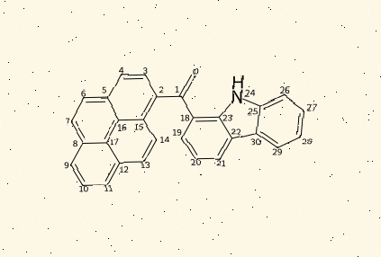 C=C(c1ccc2ccc3cccc4ccc1c2c34)c1cccc2c1[nH]c1ccccc12